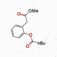 CCC[CH]C(=O)Oc1ccccc1CC(=O)OC